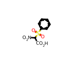 O=C(O)C([N+](=O)[O-])S(=O)(=O)c1ccccc1